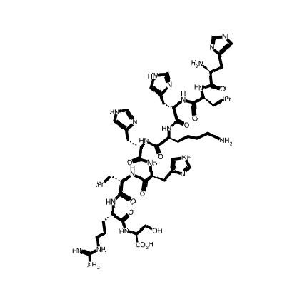 CC(C)C[C@H](NC(=O)[C@H](Cc1c[nH]cn1)NC(=O)[C@H](Cc1c[nH]cn1)NC(=O)[C@H](CCCCN)NC(=O)[C@H](Cc1c[nH]cn1)NC(=O)[C@H](CC(C)C)NC(=O)[C@@H](N)Cc1c[nH]cn1)C(=O)N[C@@H](CCCNC(=N)N)C(=O)N[C@@H](CO)C(=O)O